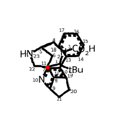 CC(C)(C)C1N(C(=O)O)CC2CC1(c1c3ncc(-c4ccccc4)c1CC3)CN2